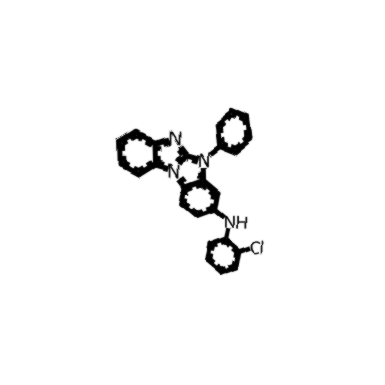 Clc1ccccc1Nc1ccc2c(c1)n(-c1ccccc1)c1nc3ccccc3n21